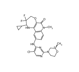 C[C@@H]1CN(c2ncc(Cl)c(Nc3ccc4c(c3)c3c(c(=O)n4C)OCC(F)(F)C(C4CC4)N3)n2)CCO1